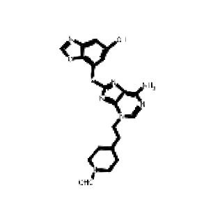 Nc1ncn(CCC2CCN(C=O)CC2)c2nc(Sc3cc(O)cc4ncoc34)nc1-2